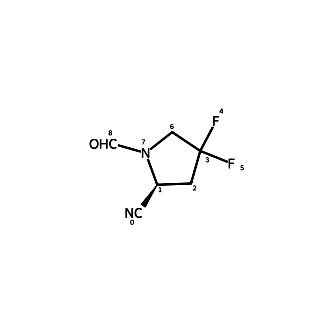 N#C[C@@H]1CC(F)(F)CN1C=O